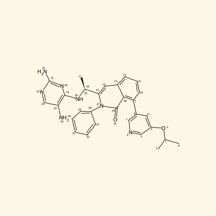 CC(C)Oc1cncc(-c2cccc3cc([C@H](C)Nc4nc(N)ncc4N)n(-c4ccccc4)c(=O)c23)c1